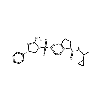 CC(NC(=O)N1CCc2cc(S(=O)(=O)N3C[C@H](c4ccccc4)N=C3N)ccc21)C1CC1